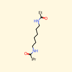 CCC(=O)NCCCCCCNC(=O)C(C)C